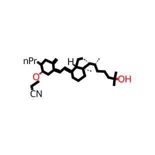 C=C1CC(CCC)[C@H](OCCC#N)C/C1=C/C=C1\CCC[C@]2(C)[C@@H]([C@H](C)CCCC(C)(C)O)CC[C@@H]12